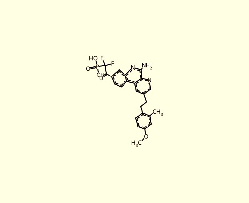 COc1ccc(CCc2cnc3c(N)nc4cc(C(=O)C(F)(F)P(=O)(O)O)ccc4c3c2)c(C)c1